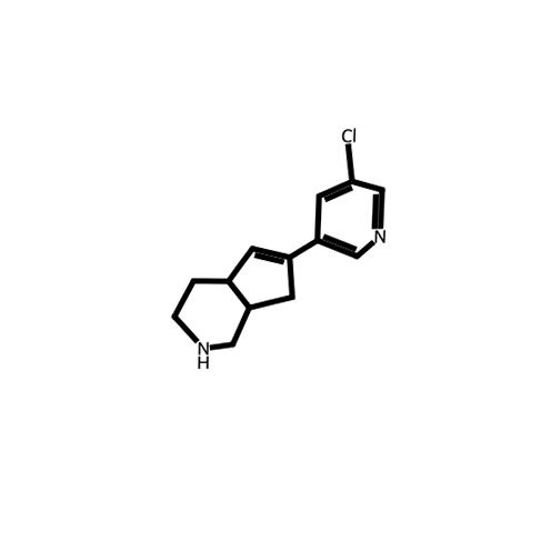 Clc1cncc(C2=CC3CCNCC3C2)c1